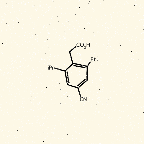 CCc1cc(C#N)cc(C(C)C)c1CC(=O)O